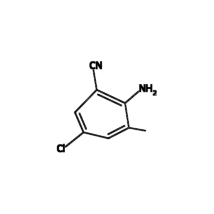 Cc1cc(Cl)cc(C#N)c1N